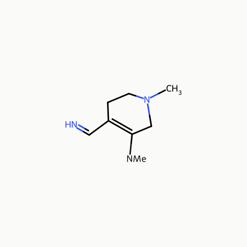 CNC1=C(C=N)CCN(C)C1